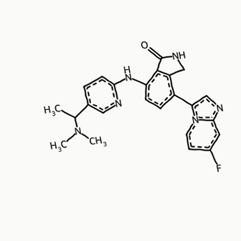 CC(c1ccc(Nc2ccc(-c3cnc4cc(F)ccn34)c3c2C(=O)NC3)nc1)N(C)C